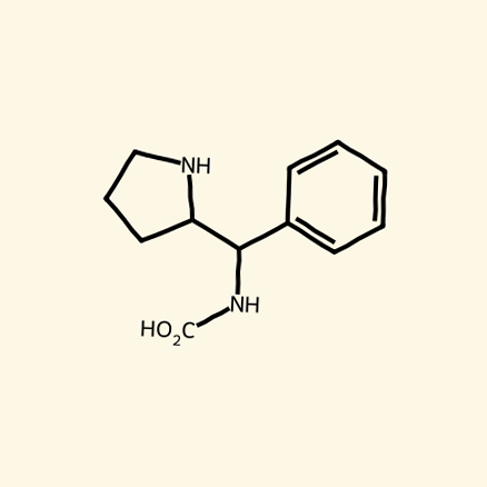 O=C(O)NC(c1ccccc1)C1CCCN1